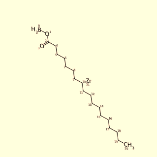 BOC(=O)CCCCCCCCCCCCCCCCC.[Zr]